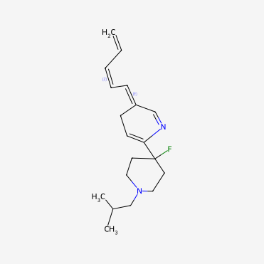 C=C/C=C\C=C1\C=NC(C2(F)CCN(CC(C)C)CC2)=CC1